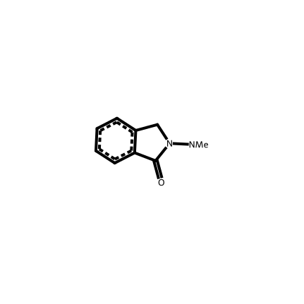 CNN1Cc2ccccc2C1=O